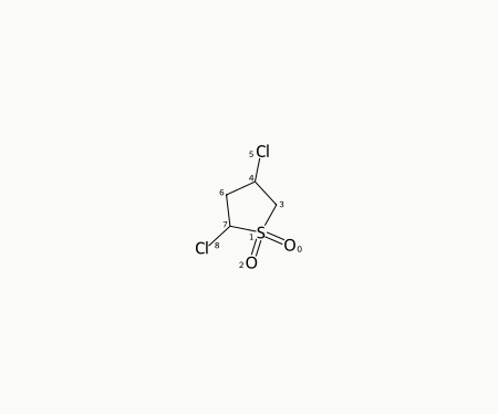 O=S1(=O)CC(Cl)CC1Cl